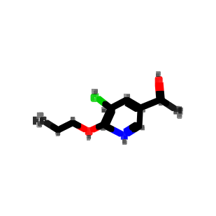 CCC(=O)c1cnc(OCCC(F)(F)F)c(Cl)c1